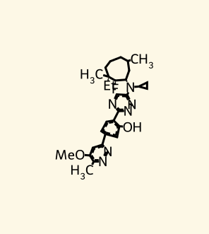 CC[C@]1(C)CCCC(C)C[C@H](N(c2cnc(-c3ccc(-c4cc(OC)c(C)nn4)cc3O)nn2)C2CC2)[C@@H]1F